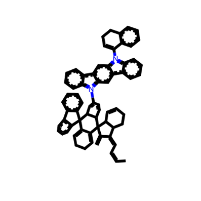 C=C1/C(=C\C=C/C)C2CCC=CC2C12C1=CCCC=C1C1(c3ccccc3-c3ccccc31)C1C=C(n3c4ccccc4c4cc5c(cc43)c3ccccc3n5C3=CCCc4ccccc43)C=CC12